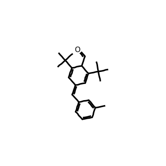 Cc1cccc(C=C2C=C(C(C)(C)C)C(C=O)C(C(C)(C)C)=C2)c1